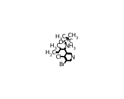 C=CC(C)/C(=N\[S+]([O-])C(C)(C)C)c1cncc(Br)c1Cl